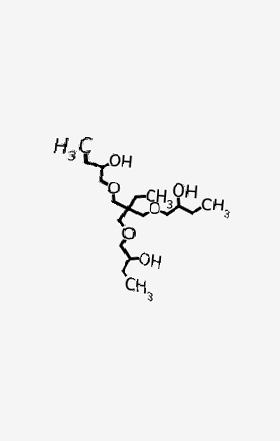 CCC(O)COCC(CC)(COCC(O)CC)COCC(O)CC